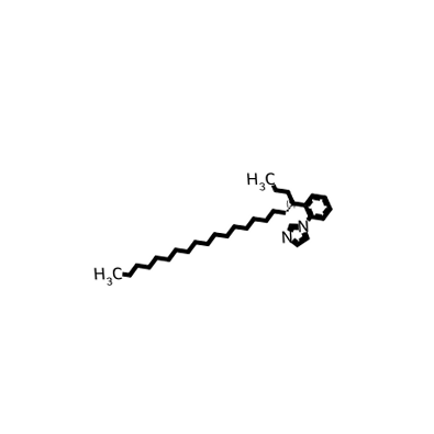 CCCCCCCCCCCCCCCCCC[C@H](CCC)c1ccccc1-n1ccnc1